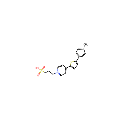 Cc1ccc(-c2ccc(-c3cc[n+](CCCS(=O)(=O)O)cc3)s2)cc1